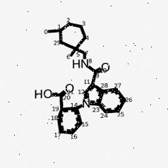 CC1CCCC(C)(CNC(=O)c2cn(-c3ccccc3C(=O)O)c3ccccc23)C1